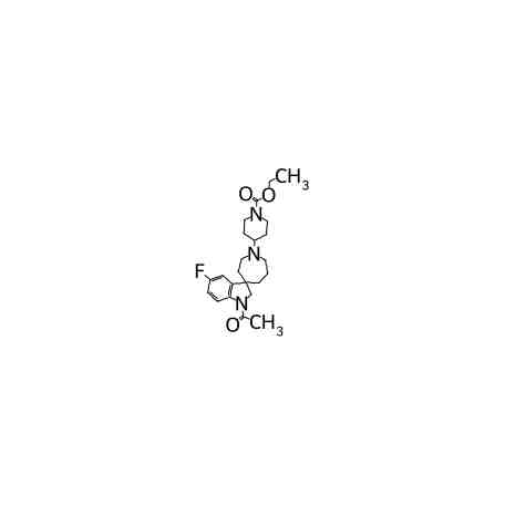 CCOC(=O)N1CCC(N2CCCC3(CC2)CN(C(C)=O)c2ccc(F)cc23)CC1